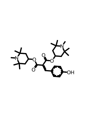 CN1C(C)(C)CC(OC(=O)C(=Cc2ccc(O)cc2)C(=O)OC2CC(C)(C)N(C)C(C)(C)C2)CC1(C)C